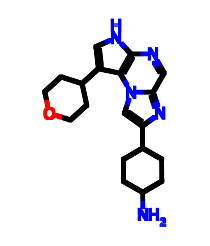 NC1CCC(c2cn3c(cnc4[nH]cc(C5CCOCC5)c43)n2)CC1